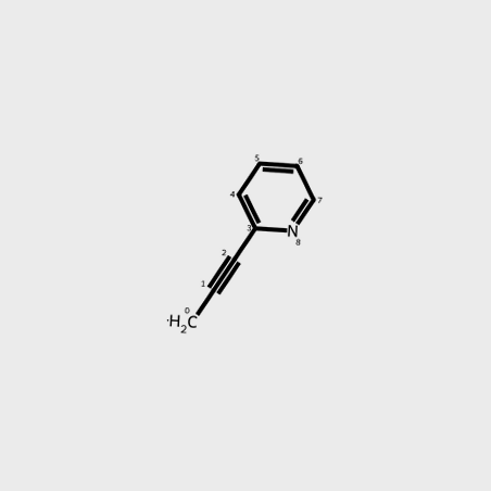 [CH2]C#Cc1ccccn1